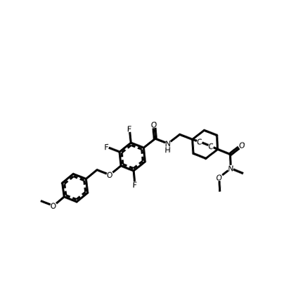 COc1ccc(COc2c(F)cc(C(=O)NCC34CCC(C(=O)N(C)OC)(CC3)CC4)c(F)c2F)cc1